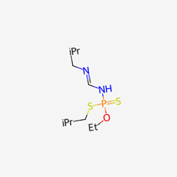 CCOP(=S)(N/C=N/CC(C)C)SCC(C)C